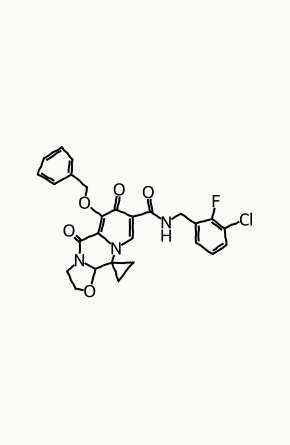 O=C(NCc1cccc(Cl)c1F)c1cn2c(c(OCc3ccccc3)c1=O)C(=O)N1CCOC1C21CC1